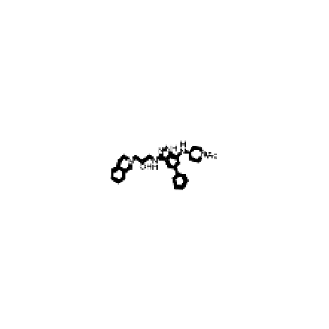 CC(=O)N1CCC(Nc2cc(-c3ccccc3)cc3c(NCC(O)CN4CCc5ccccc5C4)n[nH]c23)CC1